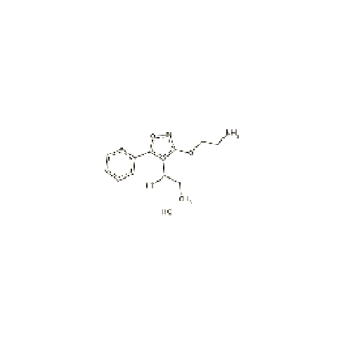 CCC(Cl)c1c(OCCN)noc1-c1ccccc1.Cl